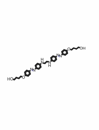 OCCCCOc1ccc(/N=N/c2ccc(NCCNc3ccc(/N=N/c4ccc(OCCCCO)cc4)cc3)cc2)cc1